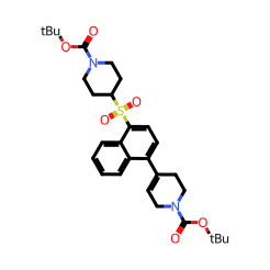 CC(C)(C)OC(=O)N1CC=C(c2ccc(S(=O)(=O)C3CCN(C(=O)OC(C)(C)C)CC3)c3ccccc23)CC1